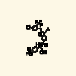 CCS(=O)(=O)c1ccc([C@H](CO)NC(=O)c2ccc3c(C4CC4)c(Cc4ccc(Cl)cc4C(F)(F)F)oc3c2)cc1